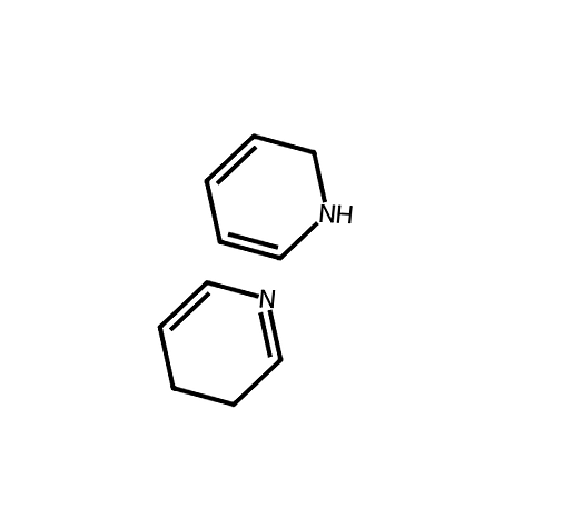 C1=CCNC=C1.C1=CN=CCC1